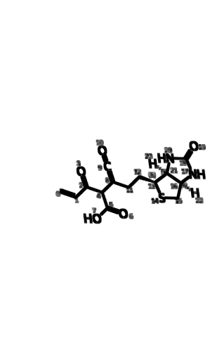 C=CC(=O)C(C(=O)O)C(=C=O)CC[C@@H]1SC[C@@H]2NC(=O)N[C@@H]21